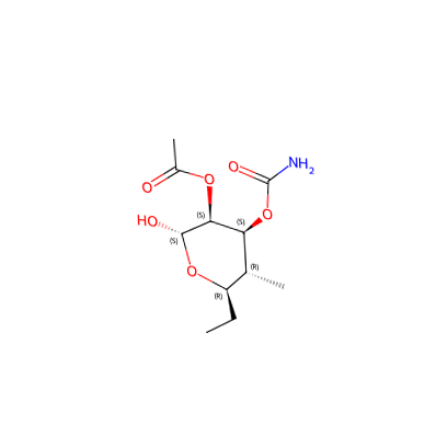 CC[C@H]1O[C@H](O)[C@@H](OC(C)=O)[C@@H](OC(N)=O)[C@@H]1C